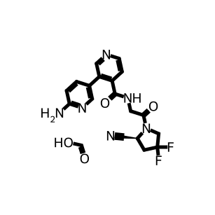 N#C[C@@H]1CC(F)(F)CN1C(=O)CNC(=O)c1ccncc1-c1ccc(N)nc1.O=CO